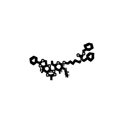 CCC1O[C@H](OCCCCCN(Cc2ccccc2)C(=O)OCc2ccccc2)C(N=[N+]=[N-])[C@@H](C)[C@@H]1O[C@@H]1OC2COC(c3ccccc3)O[C@H]2[C@H](C)C1OC(C)=O